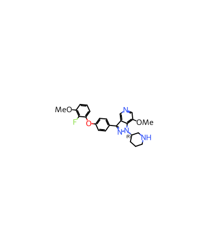 COc1cccc(Oc2ccc(-c3nn([C@@H]4CCCNC4)c4c(OC)cncc34)cc2)c1F